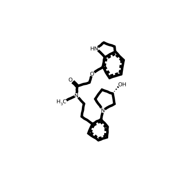 CN(CCc1ccccc1N1CC[C@H](O)C1)C(=O)COc1cccc2c1NCC2